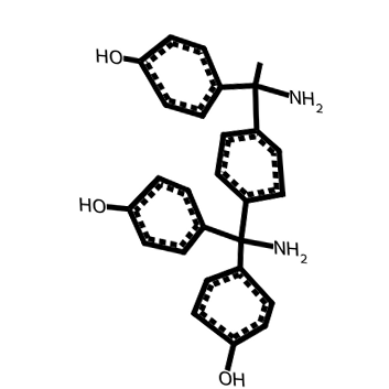 CC(N)(c1ccc(O)cc1)c1ccc(C(N)(c2ccc(O)cc2)c2ccc(O)cc2)cc1